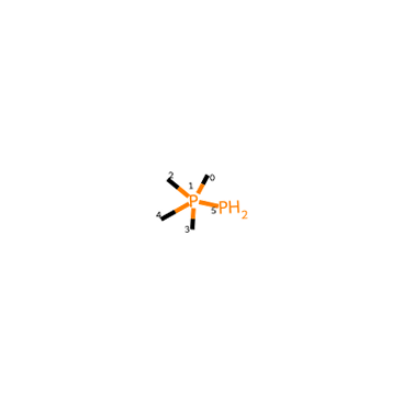 CP(C)(C)(C)P